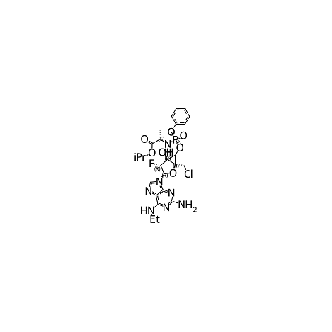 CCNc1nc(N)nc2c1ncn2[C@@H]1O[C@]2(CCl)C(O[P@@](=O)(N[C@@H](C)C(=O)OC(C)C)Oc3ccccc3)[C@]2(O)[C@H]1F